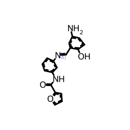 Nc1ccc(O)c(/C=N/c2cccc(NC(=O)c3ccco3)c2)c1